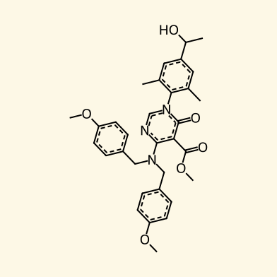 COC(=O)c1c(N(Cc2ccc(OC)cc2)Cc2ccc(OC)cc2)ncn(-c2c(C)cc(C(C)O)cc2C)c1=O